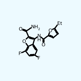 CCc1ccc(C(=O)Nc2c(C(N)=O)oc3c(F)cc(F)cc23)o1